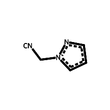 [C-]#[N+]Cn1cccn1